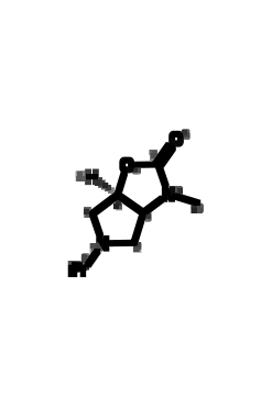 CC(C)N1CC2[C@@H](C1)OC(=O)N2C